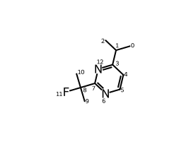 CC(C)c1ccnc(C(C)(C)F)n1